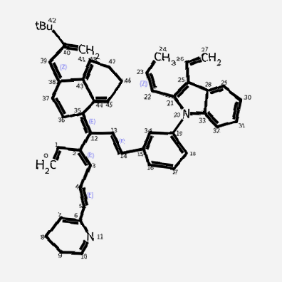 C=CC(=C\C=C\C1=CCCC=N1)/C(/C=C/c1cccc(-n2c(/C=C\C)c(C=C)c3ccccc32)c1)=c1\cc/c(=C/C(=C)C(C)(C)C)c2c1=CCCC=2